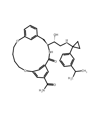 CC(C)c1cccc(C2(NC[C@@H](O)[C@@H]3Cc4cccc(c4)OCCCCOc4cc(C(N)=O)cc(c4)C(=O)N3)CC2)c1